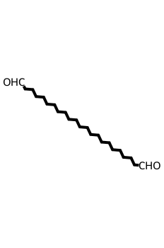 O=CCCCCCCCCCCCCCCCCCCCCCC=O